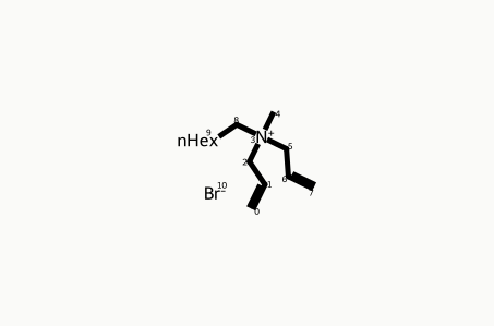 C=CC[N+](C)(CC=C)CCCCCCC.[Br-]